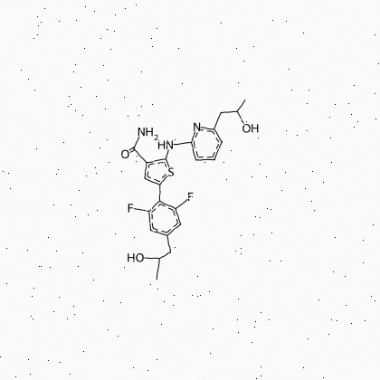 CC(O)Cc1cc(F)c(-c2cc(C(N)=O)c(Nc3cccc(CC(C)O)n3)s2)c(F)c1